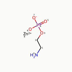 NCCOP(=O)([O-])[O-].[Zn+2]